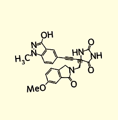 COc1ccc2c(c1)C(=O)N(C[C@@]1(C#Cc3ccc4c(c3)c(O)nn4C)NC(=O)NC1=O)C2